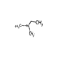 [CH2]N([CH2])CC